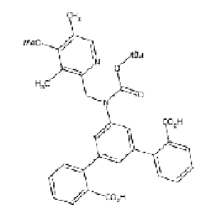 COc1c(C)cnc(CN(C(=O)OC(C)(C)C)c2cc(-c3ccccc3C(=O)O)cc(-c3ccccc3C(=O)O)c2)c1C